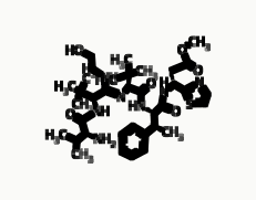 COC(=O)C[C@@H](NC(=O)[C@@H](NC(=O)[C@@H](/N=C(\NCCO)[C@@H](NC(=O)[C@@H](N)C(C)C)C(C)(C)C)C(C)(C)C)[C@@H](C)c1ccccc1)c1nccs1